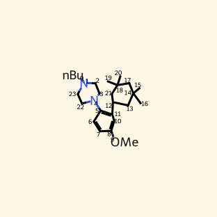 CCCCN1CCN(c2ccc(OC)cc2C2CC(C)(C)CC(C)(C)C2)CC1